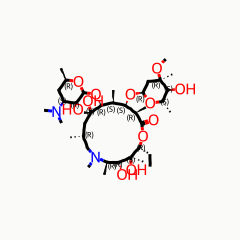 CC[C@H]1OC(=O)[C@H](C)[C@@H](O[C@H]2C[C@@](C)(OC)[C@@H](O)[C@H](C)O2)[C@H](C)[C@@H](OC2O[C@H](C)C[C@H](N(C)C)[C@H]2O)[C@@](C)(O)C[C@@H](C)CN(C)[C@H](C)[C@@H](O)[C@]1(C)O